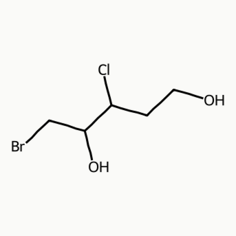 OCCC(Cl)C(O)CBr